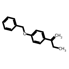 C=C(CC)c1ccc(OCc2ccccc2)cc1